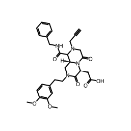 C#CCN1CC(=O)N2[C@H](CN(CCc3ccc(OC)c(OC)c3)C(=O)[C@@H]2CC(=O)O)C1C(=O)NCc1ccccc1